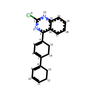 Clc1nc(C2=CC=C(C3=CC=CCC3)CC2)c2ccccc2n1